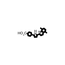 Cc1ccc(C)c2nc(-c3ccc(-c4ccc(C(=O)O)cc4)[nH]3)ccc12